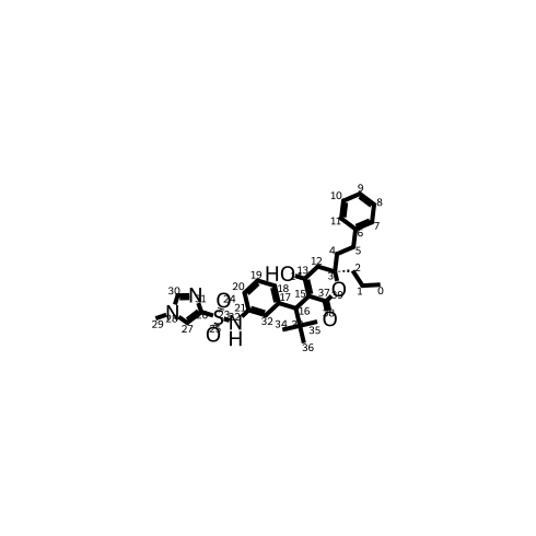 CCC[C@@]1(CCc2ccccc2)CC(O)=C(C(c2cccc(NS(=O)(=O)c3cn(C)cn3)c2)C(C)(C)C)C(=O)O1